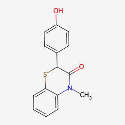 CN1C(=O)C(c2ccc(O)cc2)Sc2ccccc21